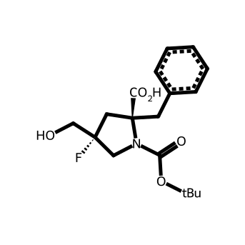 CC(C)(C)OC(=O)N1C[C@@](F)(CO)C[C@@]1(Cc1ccccc1)C(=O)O